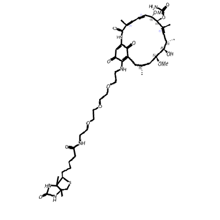 CO[C@H]1/C=C\C=C(/C)C(=O)NC2=CC(=O)C(NCCOCCOCCOCCNC(=O)CCCCC3SCC4(C)NC(=O)NC34C)=C(C[C@@H](C)C[C@H](OC)[C@H](O)[C@@H](C)/C=C(\C)[C@@H]1OC(N)=O)C2=O